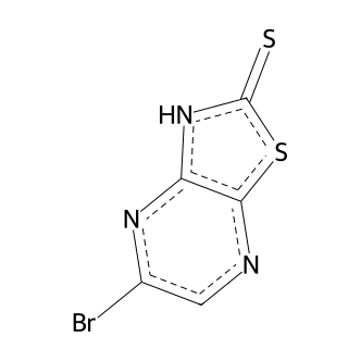 S=c1[nH]c2nc(Br)cnc2s1